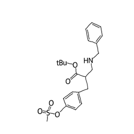 CC(C)(C)OC(=O)C(CNCc1ccccc1)Cc1ccc(OS(C)(=O)=O)cc1